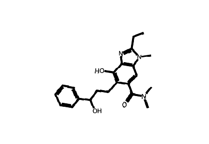 CCc1nc2c(O)c(CCC(O)c3ccccc3)c(C(=O)N(C)C)cc2n1C